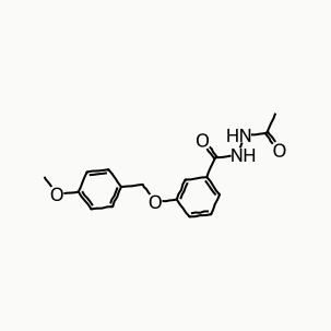 COc1ccc(COc2cccc(C(=O)NNC(C)=O)c2)cc1